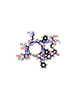 C[C@@H](O)[C@@H]1NC(=O)[C@H](CCCCN)NC(=O)[C@@H](Cc2c[nH]c3ccccc23)NC(=O)[C@H](Cc2ccccc2)NC(=O)[C@@H](NC(=O)[C@@H](Cc2ccccc2)NC(=O)C2CCC(CN3C(=O)CC(SCCC(=O)N(C)[C@@H](C)C(=O)O)C3=O)CC2)CSSC[C@@H](C(=O)N[C@H](CO)[C@@H](C)O)NC1=O